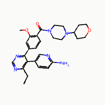 CCc1ncnc(-c2ccc(C(=O)N3CCN(C4CCOCC4)CC3)c(OC)c2)c1-c1ccc(N)nc1